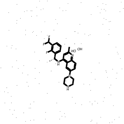 Cc1cc(N[C@H](C)c2cccc(C(F)F)c2F)c2cc(N3CCNCC3)ccc2n1.Cl.Cl